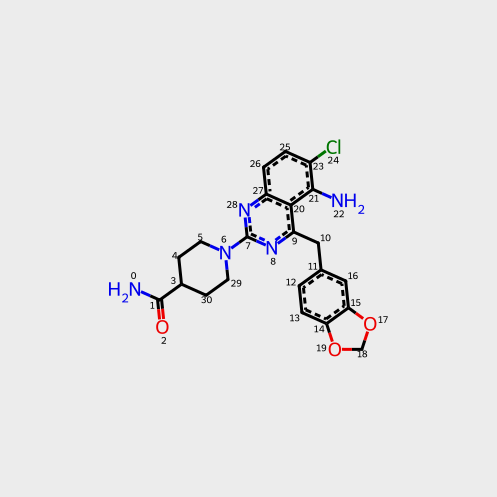 NC(=O)C1CCN(c2nc(Cc3ccc4c(c3)OCO4)c3c(N)c(Cl)ccc3n2)CC1